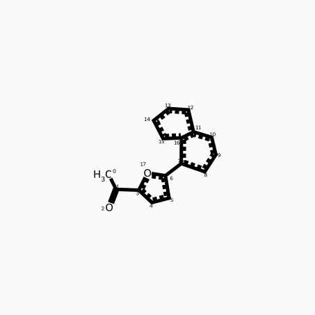 CC(=O)c1ccc(-c2cccc3ccccc23)o1